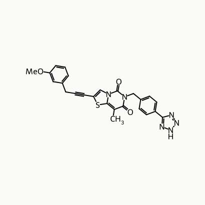 COc1cccc(CC#Cc2cn3c(=O)n(Cc4ccc(-c5nn[nH]n5)cc4)c(=O)c(C)c3s2)c1